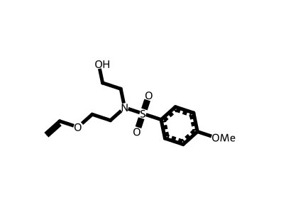 C=COCCN(CCO)S(=O)(=O)c1ccc(OC)cc1